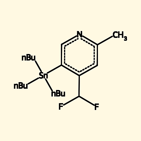 CCC[CH2][Sn]([CH2]CCC)([CH2]CCC)[c]1cnc(C)cc1C(F)F